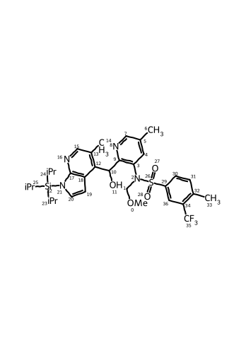 COCN(c1cc(C)cnc1C(O)c1c(C)cnc2c1ccn2[Si](C(C)C)(C(C)C)C(C)C)S(=O)(=O)c1ccc(C)c(C(F)(F)F)c1